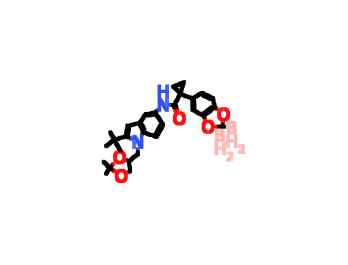 BC1(B)Oc2ccc(C3(C(=O)Nc4ccc5c(c4)cc(C(C)(C)C)n5CC4COC(C)(C)O4)CC3)cc2O1